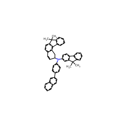 CC1(C)c2ccccc2-c2ccc(N(c3ccc(-c4ccc5ccccc5c4)cc3)C3C=Cc4ccc5c(c4C3)-c3ccccc3C5(C)C)cc21